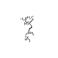 CC[SiH2]CC[SiH](CC)CC